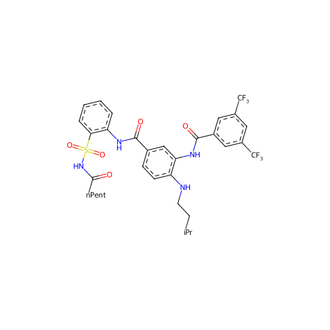 CCCCCC(=O)NS(=O)(=O)c1ccccc1NC(=O)c1ccc(NCCC(C)C)c(NC(=O)c2cc(C(F)(F)F)cc(C(F)(F)F)c2)c1